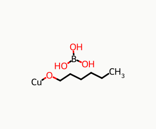 CCCCCC[O][Cu].OB(O)O